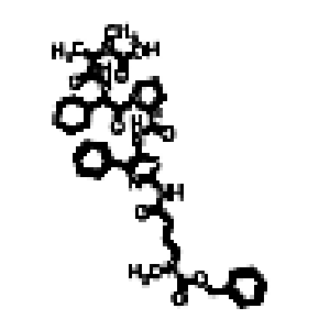 CC(C(=O)NC(C(=O)N1CCC[C@H]1C(=O)Nc1sc(NC(=O)CCCN(C)C(=O)OCc2ccccc2)nc1-c1ccccc1)C1CCCCC1)N(C)C(=O)O